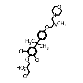 C[C@H](COc1ccc(C(C)(C)c2cc(Cl)c(OC[C@@H](O)CCl)c(Cl)c2)cc1)CN1CCOCC1